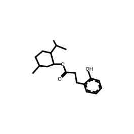 CC1CCC(C(C)C)C(OC(=O)CCc2ccccc2O)C1